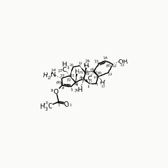 CC(=O)OC1=C[C@H]2[C@@H]3CC[C@@H]4C[C@@H](O)C=C[C@]4(C)[C@H]3CC[C@]2(C)[C@H]1N